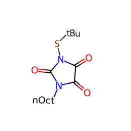 CCCCCCCCN1C(=O)C(=O)N(SC(C)(C)C)C1=O